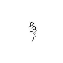 CCCCCc1nc(Cc2ccc(-c3ccccc3C(=O)O)cc2)n(CCC)n1